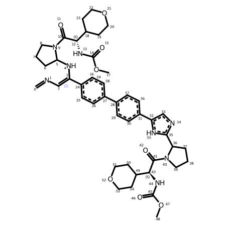 C=N/C=C(\NC1CCCN1C(=O)[C@@H](NC(=O)OC)C1CCOCC1)c1ccc(-c2ccc(-c3cnc(C4CCCN4C(=O)[C@@H](NC(=O)OC)C4CCOCC4)[nH]3)cc2)cc1